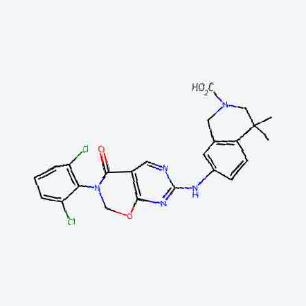 CC1(C)CN(C(=O)O)Cc2cc(Nc3ncc4c(n3)OCN(c3c(Cl)cccc3Cl)C4=O)ccc21